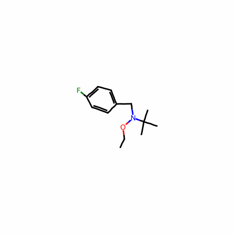 CCON(Cc1ccc(F)cc1)C(C)(C)C